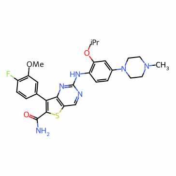 COc1cc(-c2c(C(N)=O)sc3cnc(Nc4ccc(N5CCN(C)CC5)cc4OC(C)C)nc23)ccc1F